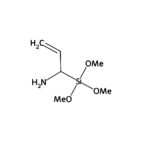 C=CC(N)[Si](OC)(OC)OC